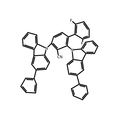 N#Cc1c(-n2c3ccccc3c3cc(-c4ccccc4)ccc32)ccc(-c2c(F)cccc2F)c1-n1c2ccccc2c2cc(-c3ccccc3)ccc21